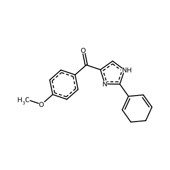 COc1ccc(C(=O)c2c[nH]c(C3=CCCC=C3)n2)cc1